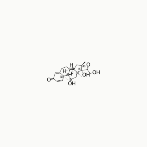 C[C@@H]1C[C@H]2[C@@H]3CCC4=CC(=O)C=C[C@]4(C)[C@@]3(F)[C@@H](O)C[C@]2(C)[C@]1(O)C(=O)CO